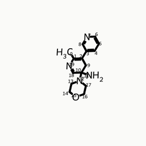 CC1=C(c2cccnc2)CC(N)(N2CCOCC2)C=N1